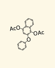 CC(=O)Oc1cc(Oc2ccccc2)c(OC(C)=O)c2ccccc12